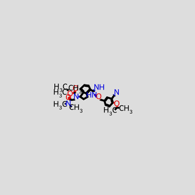 CC(C)Oc1ccc(CONC(=N)c2cccc3c2CCC3N(CC(=O)N(C)C)C(=O)OC(C)(C)C)cc1C#N